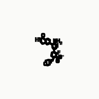 Nc1ncc(-c2ccc(CN3CCOCC3)c([N+](=O)[O-])c2F)cc1-c1ccc2c(c1)CCNC2=O